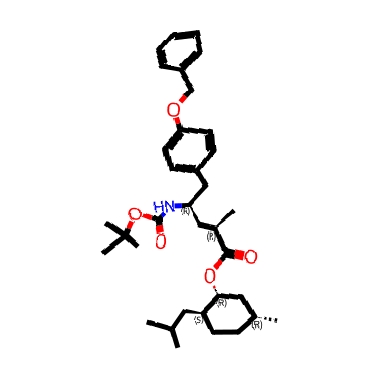 CC(C)C[C@@H]1CC[C@@H](C)C[C@H]1OC(=O)[C@H](C)C[C@H](Cc1ccc(OCc2ccccc2)cc1)NC(=O)OC(C)(C)C